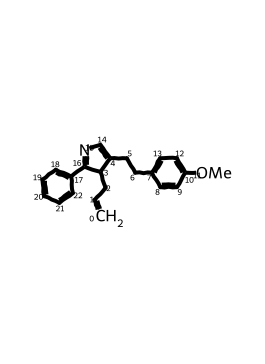 C=CCC1C(CCc2ccc(OC)cc2)=CN=C1c1ccccc1